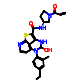 C=CC(=O)N1CC[C@@H](NC(=O)c2sc3nccc4c3c2NC(O)N4c2ccc(CC)cc2C)C1